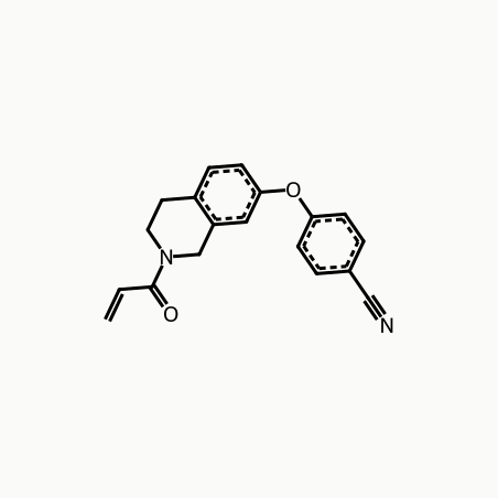 C=CC(=O)N1CCc2ccc(Oc3ccc(C#N)cc3)cc2C1